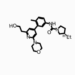 CC[C@@H]1CCN(C(=O)Nc2ccc(C)c(-c3cc(CCO)nc(N4CCOCC4)c3)c2)C1